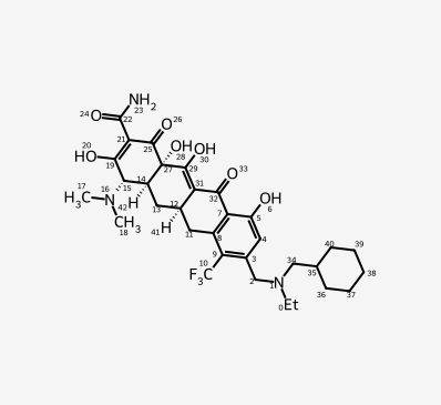 CCN(Cc1cc(O)c2c(c1C(F)(F)F)C[C@H]1C[C@H]3[C@H](N(C)C)C(O)=C(C(N)=O)C(=O)[C@@]3(O)C(O)=C1C2=O)CC1CCCCC1